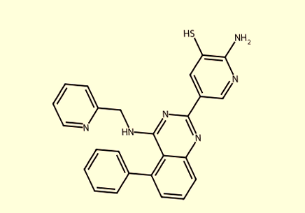 Nc1ncc(-c2nc(NCc3ccccn3)c3c(-c4ccccc4)cccc3n2)cc1S